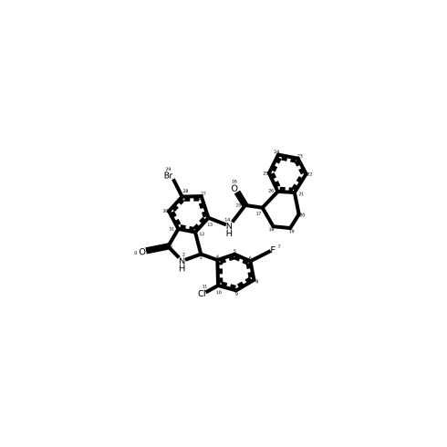 O=C1NC(c2cc(F)ccc2Cl)c2c(NC(=O)C3CCCc4ccccc43)cc(Br)cc21